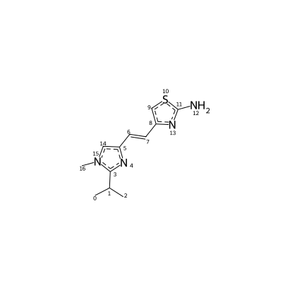 CC(C)c1nc(C=Cc2csc(N)n2)cn1C